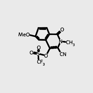 COc1ccc2c(=O)n(C)c(C#N)c(OS(=O)(=O)C(F)(F)F)c2c1